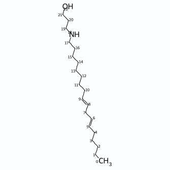 CCCCC/C=C/C/C=C/CCCCCCCCNCCCO